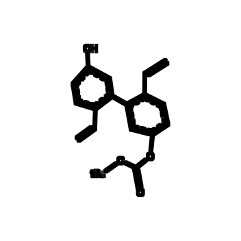 C=Cc1ccc(O)cc1-c1cc(OC(=O)OC(C)(C)C)ccc1C=C